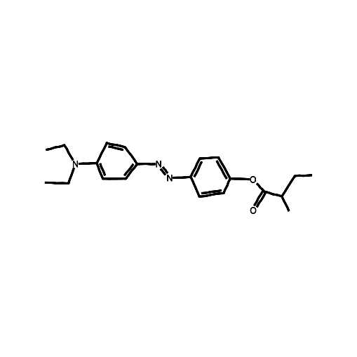 CCC(C)C(=O)Oc1ccc(N=Nc2ccc(N(CC)CC)cc2)cc1